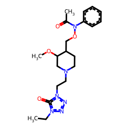 CCn1nnn(CCN2CCC(CON(C(C)=O)c3ccccc3)C(OC)C2)c1=O